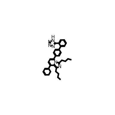 CCCCc1nc(CCCC)n2c(-c3ccc(-c4ccccc4-c4nnn[nH]4)cc3)ccc(C3=CC=CCC3)c12